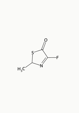 CC1N=C(F)C(=O)S1